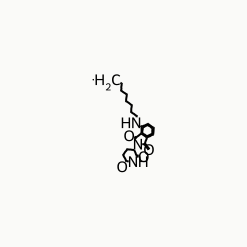 [CH2]CCCCCCCNc1cccc2c1C(=O)N(C1CCC(=O)NC1=O)C2=O